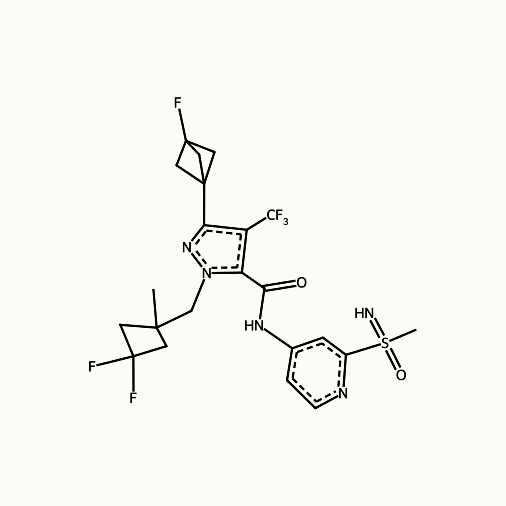 CC1(Cn2nc(C34CC(F)(C3)C4)c(C(F)(F)F)c2C(=O)Nc2ccnc(S(C)(=N)=O)c2)CC(F)(F)C1